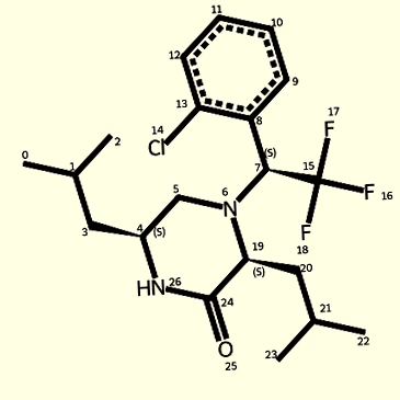 CC(C)C[C@H]1CN([C@@H](c2ccccc2Cl)C(F)(F)F)[C@@H](CC(C)C)C(=O)N1